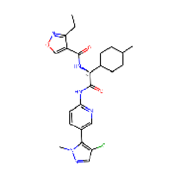 CCc1nocc1C(=O)N[C@H](C(=O)Nc1ccc(-c2c(Cl)cnn2C)cn1)C1CCC(C)CC1